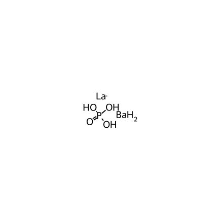 O=P(O)(O)O.[BaH2].[La]